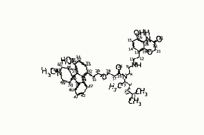 CC(C)SC[C@@H](C)N(CCNCCc1ccc(O)c2c1OCC(=O)N2)C(=O)CCOCCc1ccc(O)c(C2(c3ccccc3)CCN(C)CC2)c1